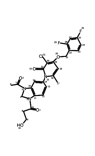 CC(=O)N1CN(C(=O)CCO)c2ccc(-n3c(C)cc(OCc4ccc(F)cc4F)c(Cl)c3=O)cc21